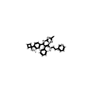 Cc1nc2nc(-c3ccc(C4(N)CCC4)cc3)c(-c3ccccc3)c(NCCc3cccnc3)n2n1